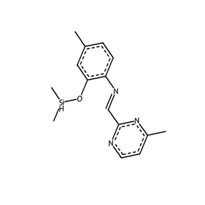 Cc1ccc(N=Cc2nccc(C)n2)c(O[SiH](C)C)c1